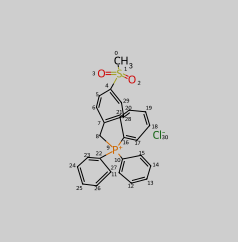 CS(=O)(=O)c1ccc(C[P+](c2ccccc2)(c2ccccc2)c2ccccc2)cc1.[Cl-]